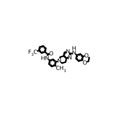 Cc1ccc(NC(=O)c2cccc(C(F)(F)F)c2)cc1N1CCc2nc(Nc3ccc4c(c3)OCCO4)ncc2C1